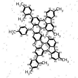 Cc1ccc(N2c3cc4c(cc3B3c5c2cc(-c2ccc(C)cc2C)cc5-n2c5ccc(C)cc5c5cc(C)cc3c52)B2c3c(cc(-c5ccc(C)cc5C)cc3-n3c5ccc(C)cc5c5ccc(C)c2c53)O4)cc1